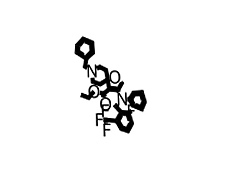 CCOC(=O)C1=C(N(Cc2c(F)cccc2C(F)(F)F)c2ccccc2)COC12CCN(Cc1ccccc1)CC2